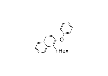 [CH2]CCCCCc1c(Oc2ccccc2)ccc2ccccc12